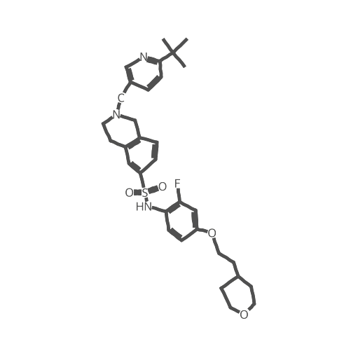 CC(C)(C)c1ccc(CN2CCc3cc(S(=O)(=O)Nc4ccc(OCCC5CCOCC5)cc4F)ccc3C2)cn1